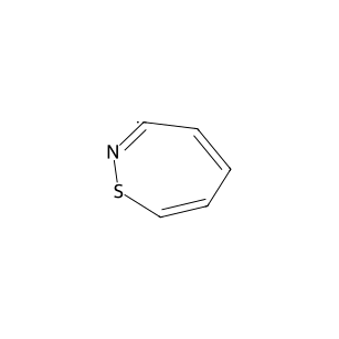 [C]1=NSC=CC=C1